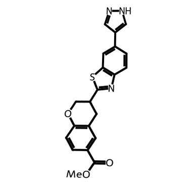 COC(=O)c1ccc2c(c1)CC(c1nc3ccc(-c4cn[nH]c4)cc3s1)CO2